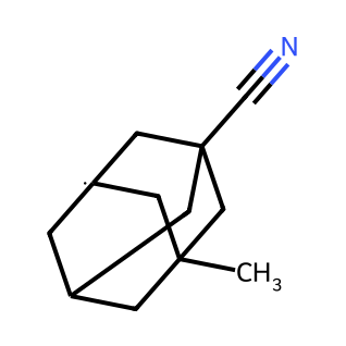 CC12C[C]3CC(C1)CC(C#N)(C3)C2